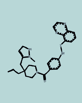 CCCC1(CC2=CCNN2C)CCN(C(=O)c2ccc(NSc3cccc4nccnc34)cc2)CC1